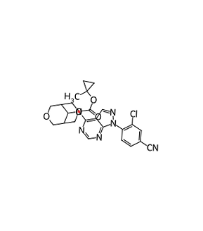 CC1(OC(=O)N2CC3COCC(C2)C3Oc2ncnc3c2cnn3-c2ccc(C#N)cc2Cl)CC1